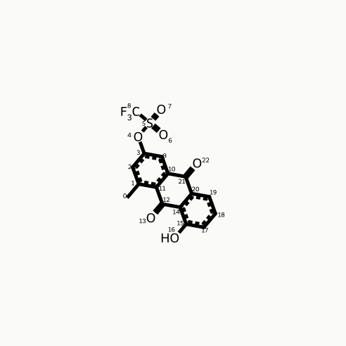 Cc1cc(OS(=O)(=O)C(F)(F)F)cc2c1C(=O)c1c(O)cccc1C2=O